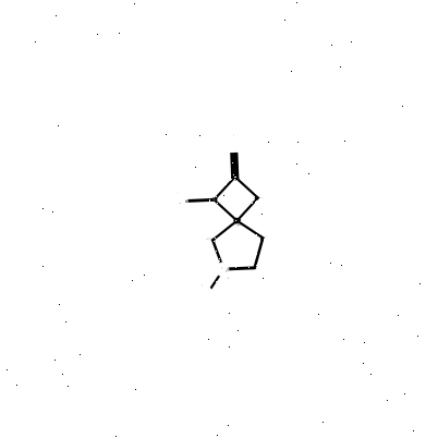 CC(C)(C)C1C(=O)CC12CCN(C(=O)O)C2